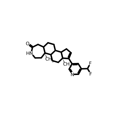 C[C@]12CCNC(=O)CC1CCC1C2CC[C@]2(C)C(c3cncc(C(F)F)c3)=CCC12